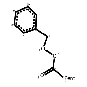 CCCC(C)C(=O)OOCc1ccccc1